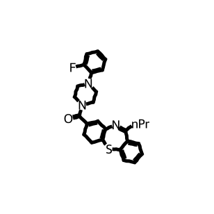 CCCC1=NC2=C(CCC(C(=O)N3CCN(c4ccccc4F)CC3)=C2)Sc2ccccc21